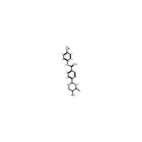 CCC1COC(c2ccc(C(=O)Oc3ccc(C#N)cc3)cc2)OC1C